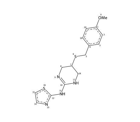 COc1ccc(CSC2CN=C(Nc3nccs3)NC2)cc1